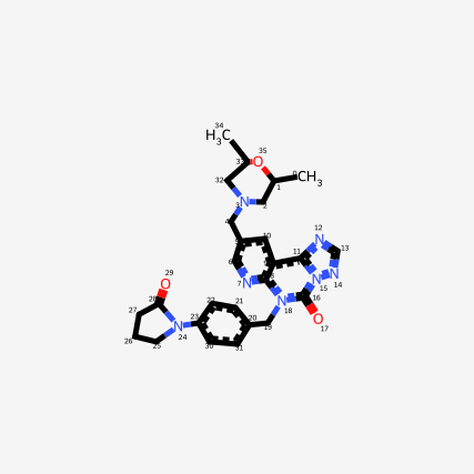 CC1CN(Cc2cnc3c(c2)c2ncnn2c(=O)n3Cc2ccc(N3CCCC3=O)cc2)CC(C)O1